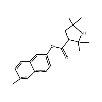 Cc1ccc2cc(OC(=O)C3CC(C)(C)NC3(C)C)ccc2c1